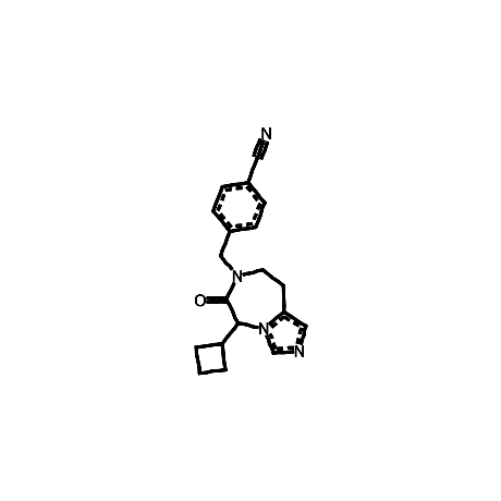 N#Cc1ccc(CN2CCc3cncn3C(C3CCC3)C2=O)cc1